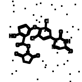 O=C(ON1C(=O)CCC1=O)c1cc(Oc2c(Cl)cc(-n3ncc(=O)[nH]c3=O)cc2Cl)ccc1O